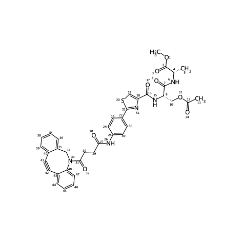 COC(=O)[C@H](C)NC(=O)[C@H](COC(C)=O)NC(=O)c1csc(-c2ccc(NC(=O)CCC(=O)N3Cc4ccccc4C#Cc4ccccc43)cc2)n1